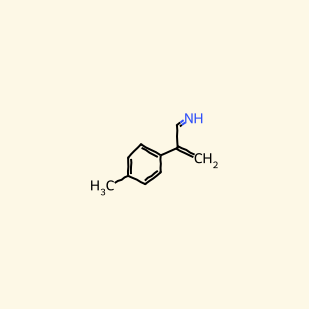 C=C(C=N)c1ccc(C)cc1